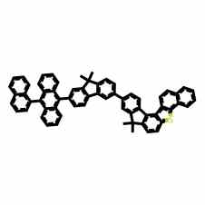 CC1(C)c2ccc(-c3ccc4c(c3)C(C)(C)c3ccc5sc6c7ccccc7ccc6c5c3-4)cc2-c2ccc(-c3c4ccccc4c(-c4cccc5ccccc45)c4ccccc34)cc21